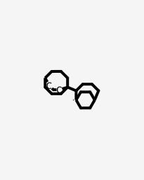 C1CC2CC[C](CC2)C(C23CCCC(CCC2)CCC3)C1